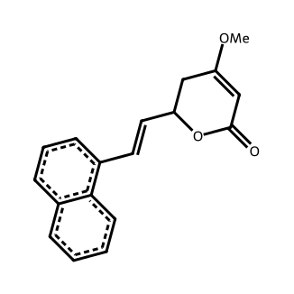 COC1=CC(=O)OC(C=Cc2cccc3ccccc23)C1